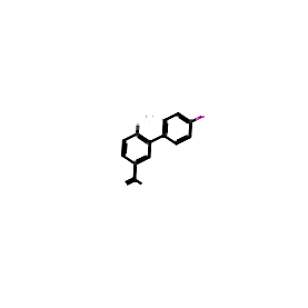 C=C(C)c1ccc(OC)c(-c2ccc(I)cc2)c1